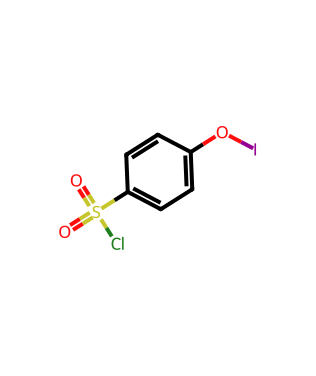 O=S(=O)(Cl)c1ccc(OI)cc1